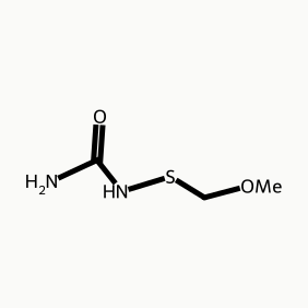 COCSNC(N)=O